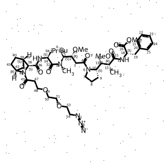 CC[C@H](C)[C@@H]([C@@H](CC(=O)N1CCC[C@H]1[C@H](OC)[C@@H](C)C(=O)N[C@@H](Cc1ccccc1)C(=O)OC)OC)N(C)C(=O)[C@@H](NC(=O)[C@@H]1[C@H]2CC[C@H](C2)N1C(=O)CCOCCOCCN=[N+]=[N-])C(C)C